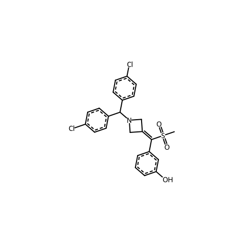 CS(=O)(=O)C(=C1CN(C(c2ccc(Cl)cc2)c2ccc(Cl)cc2)C1)c1cccc(O)c1